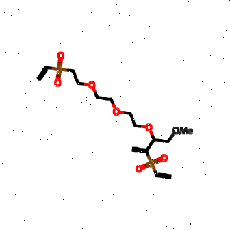 C=CS(=O)(=O)CCOCCOCCOC(COC)C(=C)S(=O)(=O)C=C